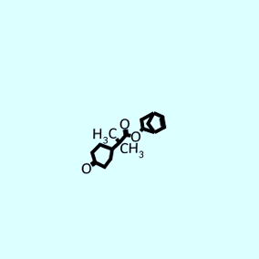 CC(C)(C(=O)OC1CC2C=CC1C2)C1CCC(=O)CC1